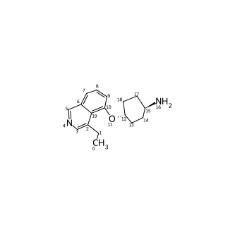 CCc1cncc2cccc(O[C@H]3CC[C@H](N)CC3)c12